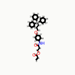 C=CC(=O)OCCC(=O)Nc1ccc(OCCC[Si](c2ccccc2)(c2ccccc2)c2ccccc2)cc1